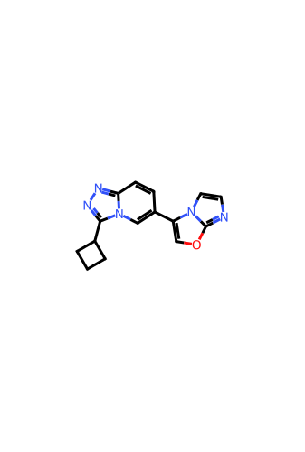 c1cn2c(-c3ccc4nnc(C5CCC5)n4c3)coc2n1